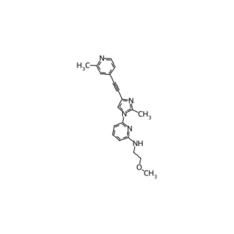 COCCNc1cccc(-n2cc(C#Cc3ccnc(C)c3)nc2C)n1